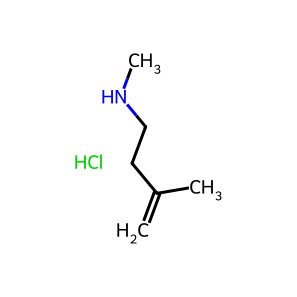 C=C(C)CCNC.Cl